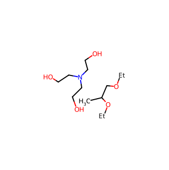 CCOCC(C)OCC.OCCN(CCO)CCO